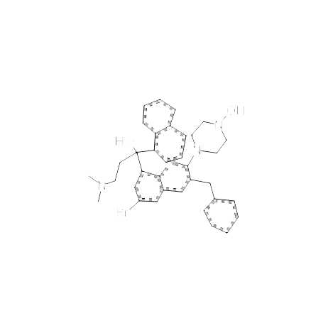 CN(C)CCC(O)(c1cccc2ccccc12)c1cc(Br)cc2cc(Cc3ccccc3)c(N3CCN(O)CC3)nc12